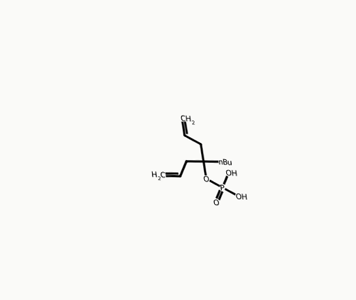 C=CCC(CC=C)(CCCC)OP(=O)(O)O